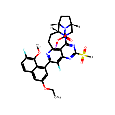 CCS(=O)(=O)c1nc2c3c(nc(-c4cc(OCOC)cc5ccc(F)c(OC(F)(F)F)c45)c(F)c3n1)CC[C@@H]1[C@@H]3CC[C@H](CN21)N3C(=O)OI